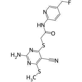 CSc1nc(N)nc(SCC(=O)Nc2ccc(CF)cn2)c1C#N